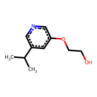 CC(C)c1cncc(OCCO)c1